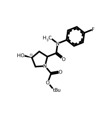 CN(C(=O)C1C[C@H](O)CN1C(=O)OC(C)(C)C)c1ccc(F)cc1